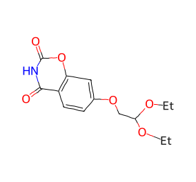 CCOC(COc1ccc2c(=O)[nH]c(=O)oc2c1)OCC